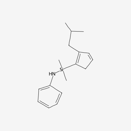 CC(C)CC1=C([Si](C)(C)Nc2ccccc2)CC=C1